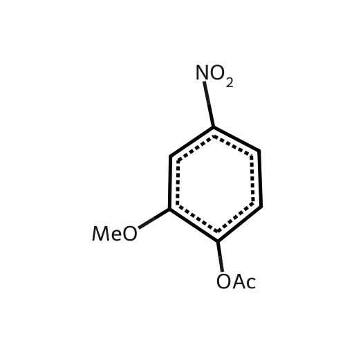 COc1cc([N+](=O)[O-])ccc1OC(C)=O